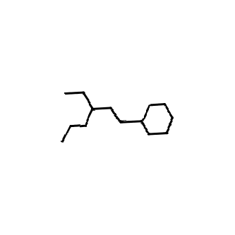 CCCC(CC)CCC1CCCCC1